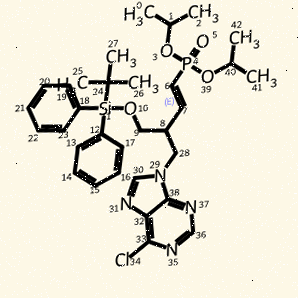 CC(C)OP(=O)(/C=C/C(CO[Si](c1ccccc1)(c1ccccc1)C(C)(C)C)Cn1cnc2c(Cl)ncnc21)OC(C)C